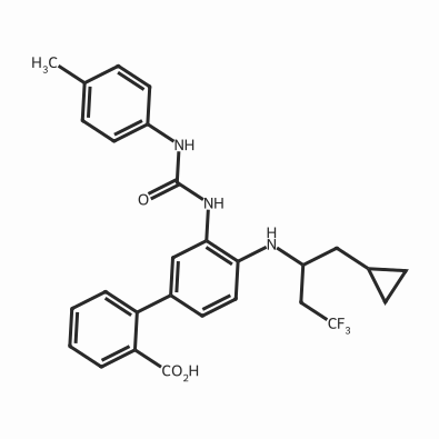 Cc1ccc(NC(=O)Nc2cc(-c3ccccc3C(=O)O)ccc2NC(CC2CC2)CC(F)(F)F)cc1